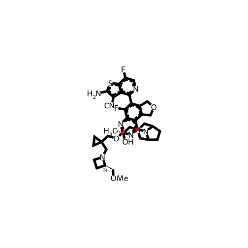 COC[C@@H]1CCN1CC1(COc2nc(N3C4CCC3CN(C[C@@H](C)O)C4)c3c4c(c(-c5ncc(F)c6sc(N)c(C#N)c56)c(F)c3n2)COC4)CC1